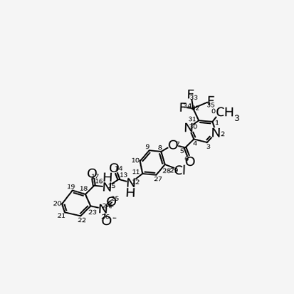 Cc1ncc(C(=O)Oc2ccc(NC(=O)NC(=O)c3ccccc3[N+](=O)[O-])cc2Cl)nc1C(F)(F)F